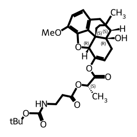 COc1ccc2c3c1O[C@H]1C(OC(=O)[C@H](C)OC(=O)CCNC(=O)OC(C)(C)C)=CC[C@@]4(O)[C@@H](C2)C(C)CC[C@]314